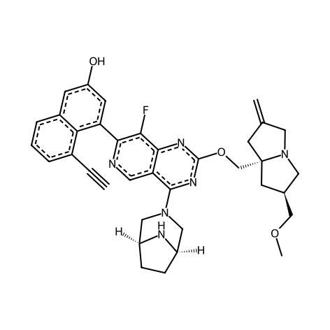 C#Cc1cccc2cc(O)cc(-c3ncc4c(N5C[C@H]6CC[C@@H](C5)N6)nc(OC[C@]56CC(=C)CN5C[C@@H](COC)C6)nc4c3F)c12